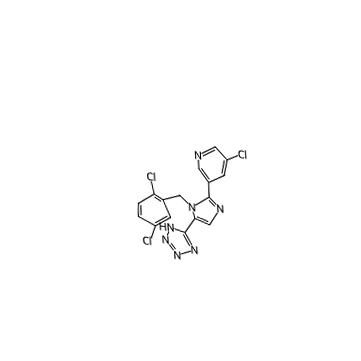 Clc1cncc(-c2ncc(-c3nnn[nH]3)n2Cc2cc(Cl)ccc2Cl)c1